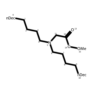 CCCCCCCCCCCCCCN(CCCCCCCCCCCCCC)CC(=O)OOC